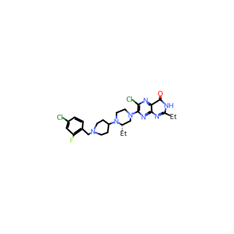 CCc1nc2nc(N3CCN(C4CCN(Cc5ccc(Cl)cc5F)CC4)[C@@H](CC)C3)c(Cl)nc2c(=O)[nH]1